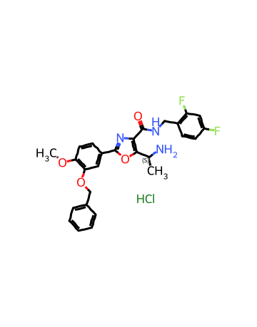 COc1ccc(-c2nc(C(=O)NCc3ccc(F)cc3F)c([C@H](C)N)o2)cc1OCc1ccccc1.Cl